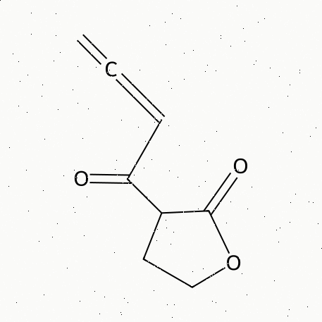 C=C=CC(=O)C1CCOC1=O